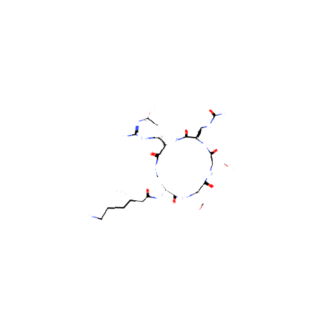 NCCC[C@H](N)CC(=O)N[C@H]1CNC(=O)[C@H]([C@H]2C[C@H](O)N=C(N)N2)NC(=O)/C(=C/NC(N)=O)NC(=O)[C@H](CO)NC(=O)[C@H](CO)NC1=O